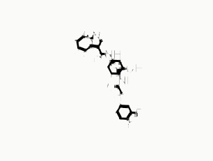 O=C(COc1ccc(Cl)c(F)c1)NC12CCC(NC(=O)c3cnn4ccccc34)(CC1)CC2O